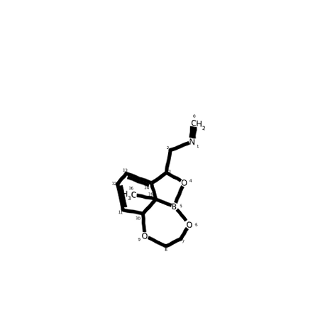 C=NCC1OB2OCCOC3C=CC=C1C23C